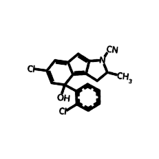 CC1CC2=C3C(=CC(Cl)=CC3(O)c3ccccc3Cl)C=C2N1C#N